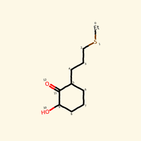 CCSCCCC1CCCC(O)C1=O